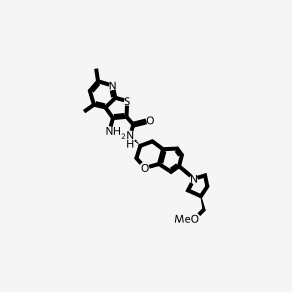 COC[C@@H]1CCN(c2ccc3c(c2)OC[C@H](NC(=O)c2sc4nc(C)cc(C)c4c2N)C3)C1